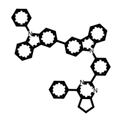 c1ccc(-c2nc(-c3cccc(-n4c5ccccc5c5cc(-c6ccc7c(c6)c6ccccc6n7-c6ccccc6)ccc54)c3)nc3c2CCC3)cc1